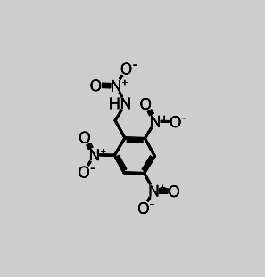 O=[N+]([O-])NCc1c([N+](=O)[O-])cc([N+](=O)[O-])cc1[N+](=O)[O-]